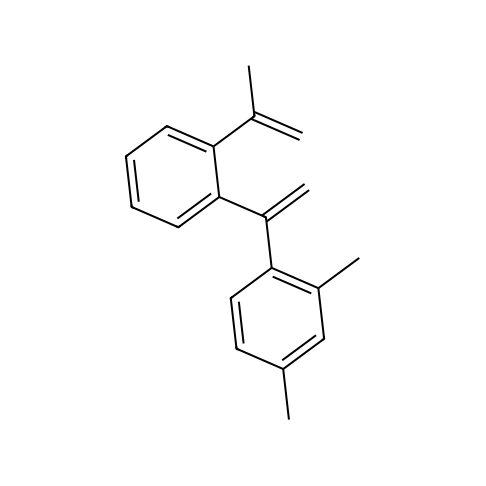 C=C(C)c1ccccc1C(=C)c1ccc(C)cc1C